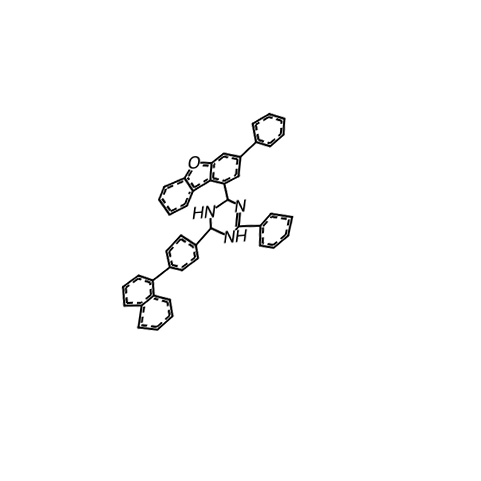 c1ccc(C2=NC(c3cc(-c4ccccc4)cc4oc5ccccc5c34)NC(c3ccc(-c4cccc5ccccc45)cc3)N2)cc1